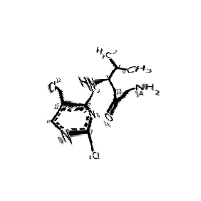 CC(C)[C@H](Nc1nc(Cl)ncc1Cl)C(N)=O